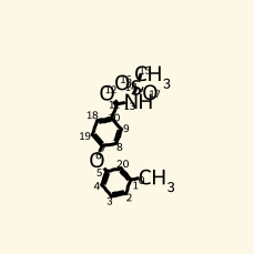 Cc1cccc(Oc2ccc(C(=O)NS(C)(=O)=O)cc2)c1